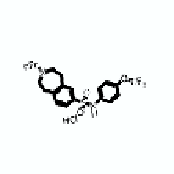 CCCN1CCc2ccc(S(=O)(=O)Nc3ccc(OC(F)(F)F)cc3)cc2CC1.Cl